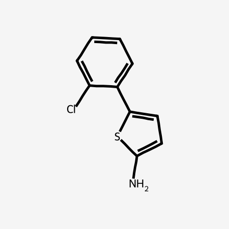 Nc1ccc(-c2ccccc2Cl)s1